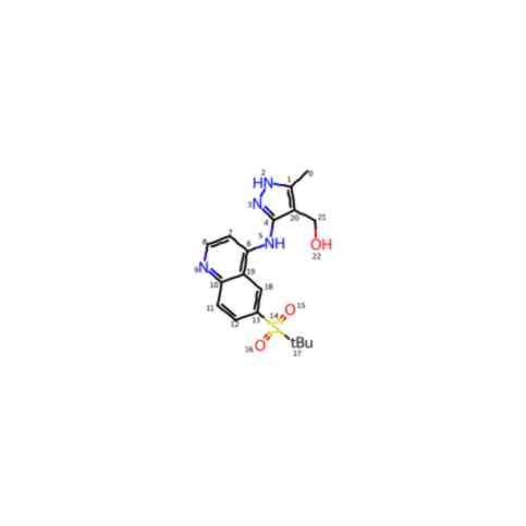 Cc1[nH]nc(Nc2ccnc3ccc(S(=O)(=O)C(C)(C)C)cc23)c1CO